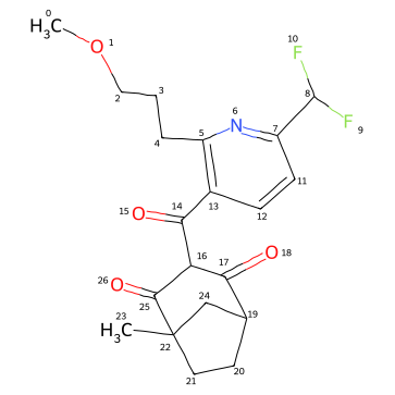 COCCCc1nc(C(F)F)ccc1C(=O)C1C(=O)C2CCC(C)(C2)C1=O